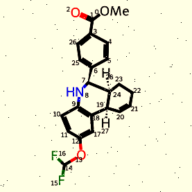 COC(=O)c1ccc([C@@H]2Nc3ccc(OC(F)F)cc3[C@@H]3C=CCC[C@@H]32)cc1